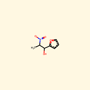 CC(C(O)c1ccco1)[N+](=O)[O-]